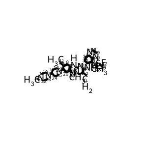 C=Cc1cnc(Nc2cc(CC)c(N3CCC(N4CCN(C)CC4)CC3)cc2OC)nc1Nc1ccc2nccnc2c1N(C)SC(F)(F)F